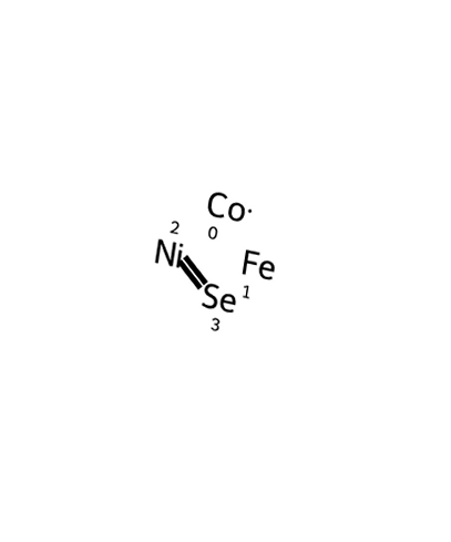 [Co].[Fe].[Ni]=[Se]